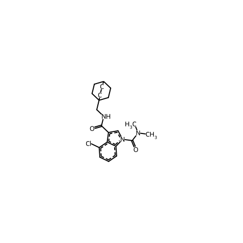 CN(C)C(=O)n1cc(C(=O)NCC23CCC(CC2)CC3)c2c(Cl)cccc21